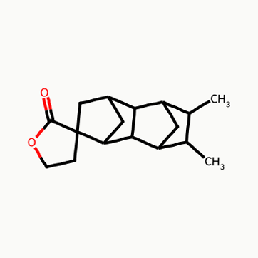 CC1C(C)C2CC1C1C3CC(C21)C1(CCOC1=O)C3